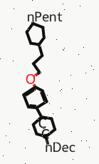 CCCCCCCCCCC12CCC(c3ccc(OCCCC4CCC(CCCCC)CC4)cc3)(CC1)CC2